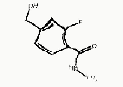 CNC(=O)c1ccc(CO)cc1F